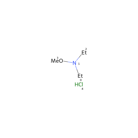 CCN(CC)OC.Cl